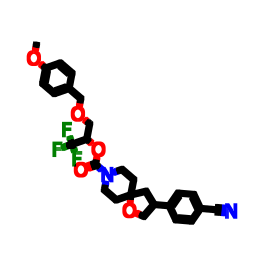 COc1ccc(COCC(OC(=O)N2CCC3(CC2)CC(c2ccc(C#N)cc2)CO3)C(F)(F)F)cc1